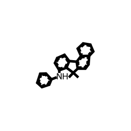 CC1(C)c2ccc3ccccc3c2-c2cccc(Nc3ccccc3)c21